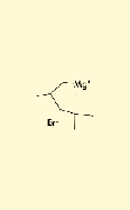 CC([CH2][Mg+])CC(C)(C)C.[Br-]